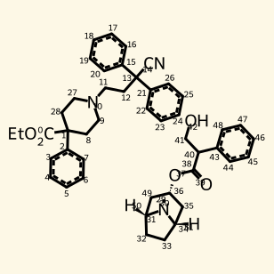 CCOC(=O)C1(c2ccccc2)CCN(CCC(C#N)(c2ccccc2)c2ccccc2)CC1.CN1[C@@H]2CC[C@H]1C[C@@H](OC(=O)C(CO)c1ccccc1)C2